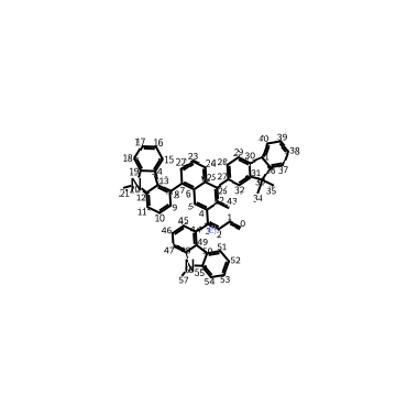 C=C/C=C(\c1cc2c(-c3cccc4c3c3ccccc3n4C)cccc2c(-c2ccc3c(c2)C(C)(C)c2ccccc2-3)c1C)c1cccc2c1c1ccccc1n2C